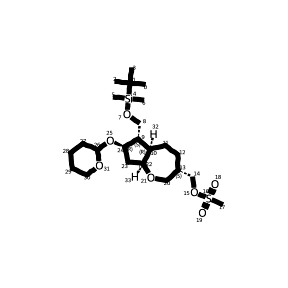 CC(C)(C)[Si](C)(C)OC[C@@H]1[C@H]2CC[C@H](COS(C)(=O)=O)CO[C@H]2C[C@H]1OC1CCCCO1